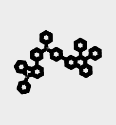 c1ccc(-c2c(-c3ccccc3)c3cc(-c4ccc(N(c5ccccc5)c5cccc(-c6cccc7c6c6ccccc6n7-c6ccccc6)c5)cc4)ccc3c3ccccc23)cc1